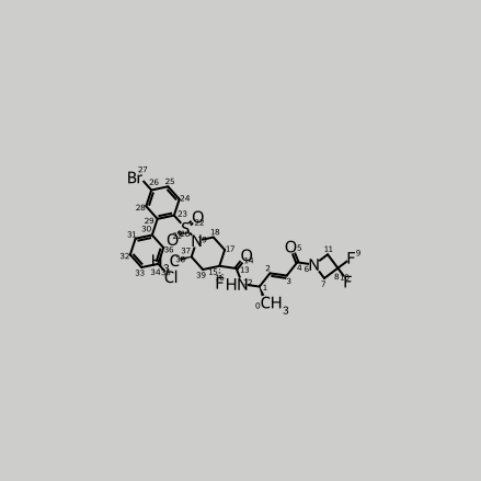 C[C@H](/C=C/C(=O)N1CC(F)(F)C1)NC(=O)[C@]1(F)CCN(S(=O)(=O)c2ccc(Br)cc2-c2cccc(Cl)c2)[C@H](C)C1